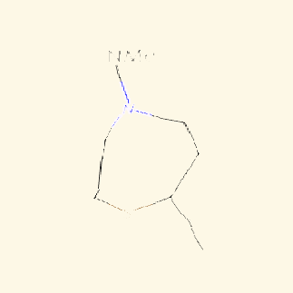 CNN1CCSC(C)CC1